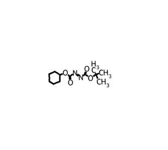 CC(C)(C)OC(=O)N=NC(=O)OC1CCCCC1